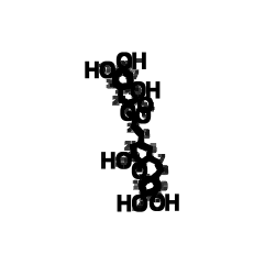 O=C(/C=C/C1=CC2C=Cc3cc(O)c(O)cc3OC2C(O)=C1)OC(Cc1ccc(O)c(O)c1)C(=O)O